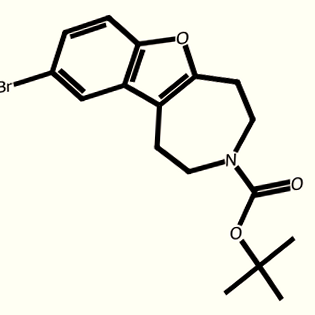 CC(C)(C)OC(=O)N1CCc2oc3ccc(Br)cc3c2CC1